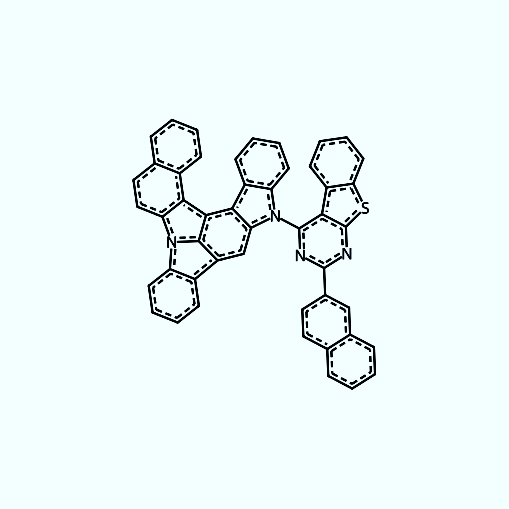 c1ccc2cc(-c3nc(-n4c5ccccc5c5c6c7c8ccccc8ccc7n7c8ccccc8c(cc54)c67)c4c(n3)sc3ccccc34)ccc2c1